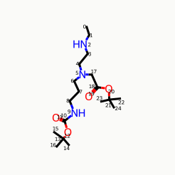 CCNCCN(CCCNC(=O)OC(C)(C)C)CC(=O)OC(C)(C)C